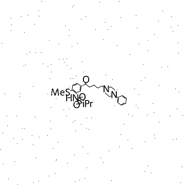 CSc1ccc(C(=O)CCCCN2CCN(c3ccccc3)CC2)cc1NS(=O)(=O)C(C)C